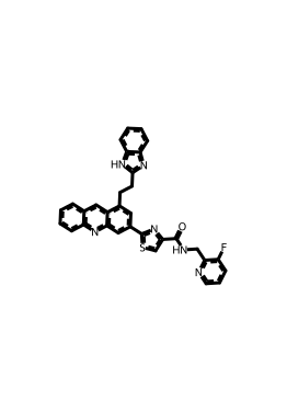 O=C(NCc1ncccc1F)c1csc(-c2cc(CCc3nc4ccccc4[nH]3)c3cc4ccccc4nc3c2)n1